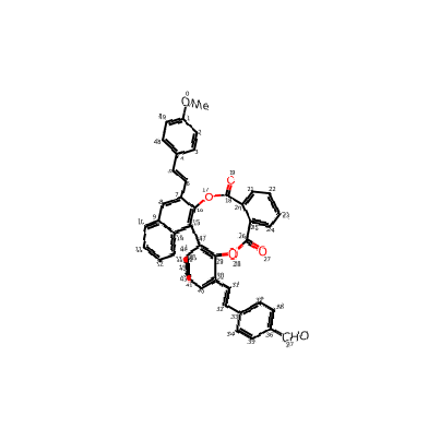 COc1ccc(/C=C/c2cc3ccccc3c3c2oc(=O)c2ccccc2c(=O)oc2c(/C=C/c4ccc(C=O)cc4)cc4ccccc4c23)cc1